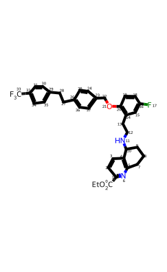 CCOC(=O)c1ccc2c(n1)CCCC2NCCc1cc(F)ccc1OCc1ccc(CCc2ccc(C(F)(F)F)cc2)cc1